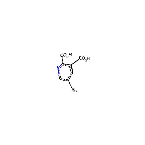 CC(C)c1cnc(C(=O)O)c(C(=O)O)c1